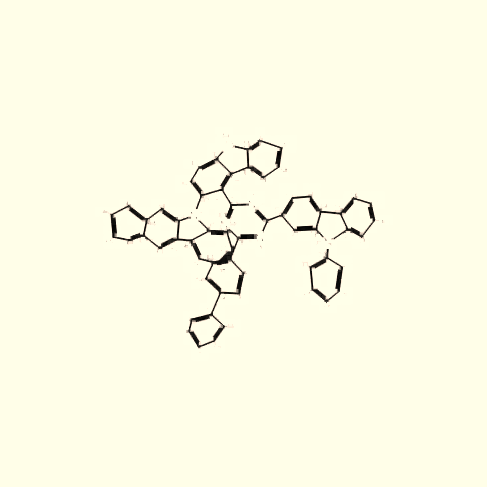 c1ccc(-c2ccc(-c3nc(-c4ccc5c6ccccc6n(-c6ccccc6)c5c4)nc(-c4c(-n5c6ccccc6c6cc7ccccc7cc65)ccc5oc6ccccc6c45)n3)cc2)cc1